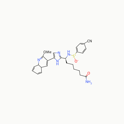 COC1=NC2C=CC=CC2C=C1c1cnc([C@H](CCCCCC(N)=O)N[S+]([O-])c2ccc(C#N)cc2)[nH]1